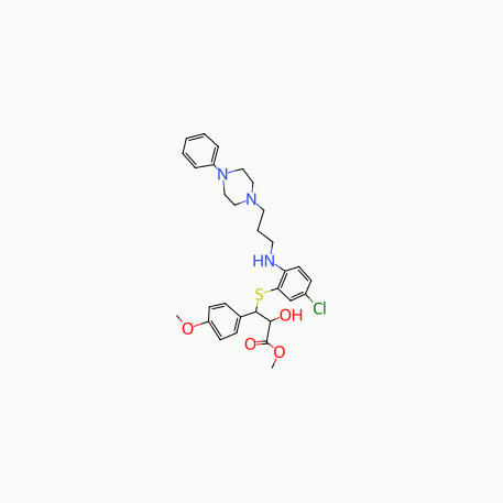 COC(=O)C(O)C(Sc1cc(Cl)ccc1NCCCN1CCN(c2ccccc2)CC1)c1ccc(OC)cc1